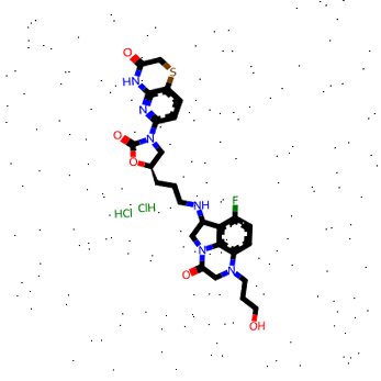 Cl.Cl.O=C1CSc2ccc(N3C[C@@H](CCCNC4CN5C(=O)CN(CCCO)c6ccc(F)c4c65)OC3=O)nc2N1